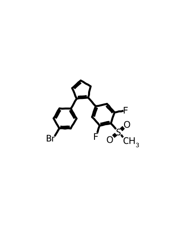 CS(=O)(=O)c1c(F)cc(C2=C(c3ccc(Br)cc3)C=CC2)cc1F